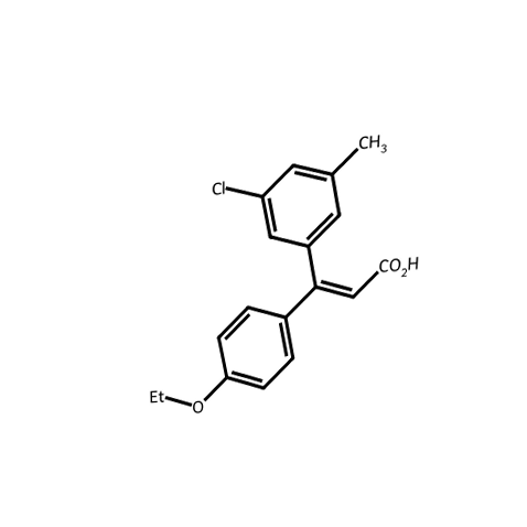 CCOc1ccc(C(=CC(=O)O)c2cc(C)cc(Cl)c2)cc1